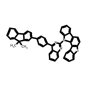 CC1(C)c2ccccc2-c2ccc(-c3ccc(-c4nc(-n5c6ccccc6c6ccc7sc8ccccc8c7c65)nc5ccccc45)cc3)cc21